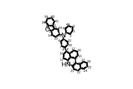 c1ccc(N(c2ccc(-c3ccc4c5c(cccc35)-c3c(ccc5ccccc35)N4)cc2)c2ccc3oc4ccccc4c3c2)cc1